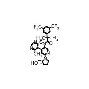 Cc1ncccc1-c1cc(N2CCC[C@H]2CO)ncc1N(C)C(=O)C(C)(C)c1cc(C(F)(F)F)cc(C(F)(F)F)c1